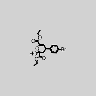 CCOC(=O)C1=CC(c2ccc(Br)cc2)CC(O)(C(=O)OCC)O1